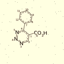 O=C(O)c1cnnnc1-c1ccccc1